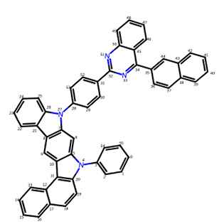 c1ccc(-n2c3cc4c(cc3c3c5ccccc5ccc32)c2ccccc2n4-c2ccc(-c3nc(-c4ccc5ccccc5c4)c4ccccc4n3)cc2)cc1